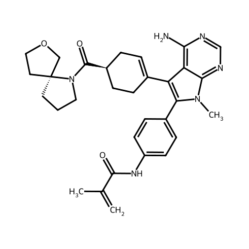 C=C(C)C(=O)Nc1ccc(-c2c(C3=CC[C@H](C(=O)N4CCC[C@@]45CCOC5)CC3)c3c(N)ncnc3n2C)cc1